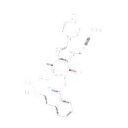 CC#CCn1c(N2CCNCC2)nc2c(=O)n(CCO)n(Cc3nc(C)cc4ccccc34)c(=O)c21